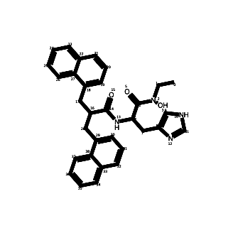 CCN(O)C(=O)C(Cc1c[nH]cn1)NC(=O)C(Cc1cccc2ccccc12)Cc1cccc2ccccc12